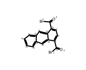 O=C(Br)c1ccc(C(=O)Br)c2cc3ccccc3cc12